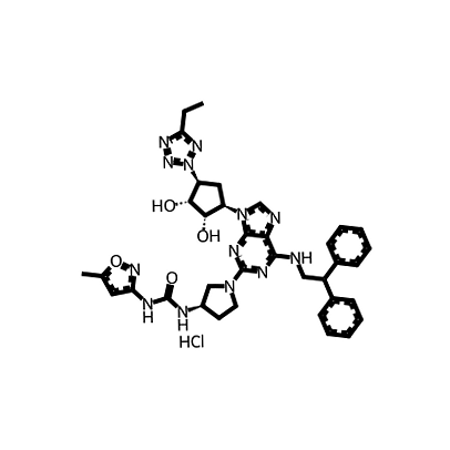 CCc1nnn([C@H]2C[C@@H](n3cnc4c(NCC(c5ccccc5)c5ccccc5)nc(N5CC[C@@H](NC(=O)Nc6cc(C)on6)C5)nc43)[C@H](O)[C@@H]2O)n1.Cl